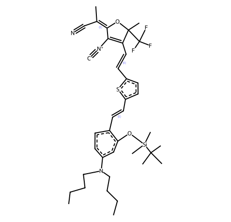 [C-]#[N+]C1=C(/C=C/c2ccc(/C=C/c3ccc(N(CCCC)CCCC)cc3O[Si](C)(C)C(C)(C)C)s2)C(C)(C(F)(F)F)O/C1=C(\C)C#N